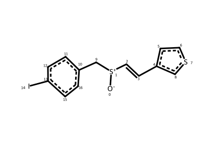 [O-][S+](C=Cc1ccsc1)Cc1ccc(I)cc1